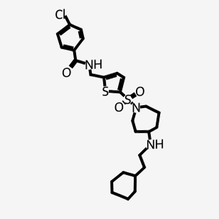 O=C(NCc1ccc(S(=O)(=O)N2CCCC(NCCC3CCCCC3)CC2)s1)c1ccc(Cl)cc1